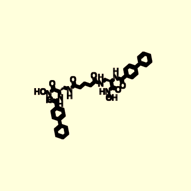 O=C(CCCC(=O)NC[C@@H](NC(=O)c1ccc(-c2ccccc2)cc1)C(=O)NO)NC[C@H](NC(=O)c1ccc(-c2ccccc2)cc1)C(=O)NO